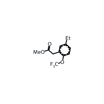 CCc1ccc(OC(F)(F)F)c(CC(=O)OC)c1